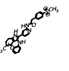 CN1CCc2[nH]c(-c3ccnc(NC(=O)Cc4ccc(S(C)(=O)=O)cc4)c3)c(Nc3ccccc3)c2C1=O